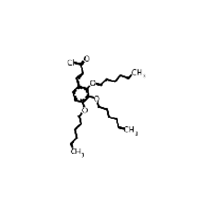 CCCCCCOc1ccc(/C=C/C(=O)Cl)c(OCCCCCC)c1OCCCCCC